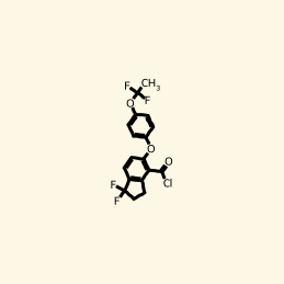 CC(F)(F)Oc1ccc(Oc2ccc3c(c2C(=O)Cl)CCC3(F)F)cc1